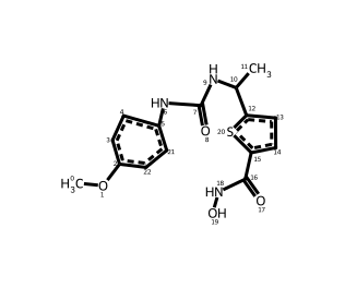 COc1ccc(NC(=O)NC(C)c2ccc(C(=O)NO)s2)cc1